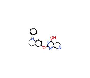 Oc1nc(Oc2ccc3c(c2)CCCN3c2ccccc2)nc2cnccc12